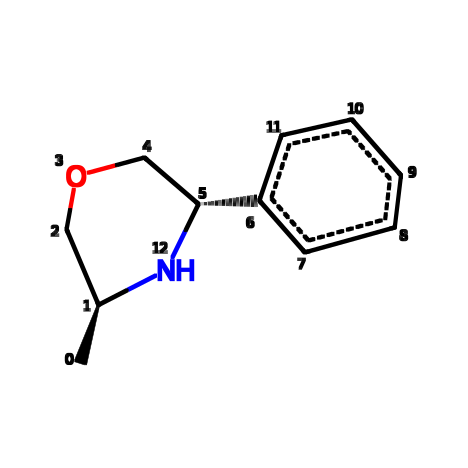 C[C@H]1COC[C@H](c2ccccc2)N1